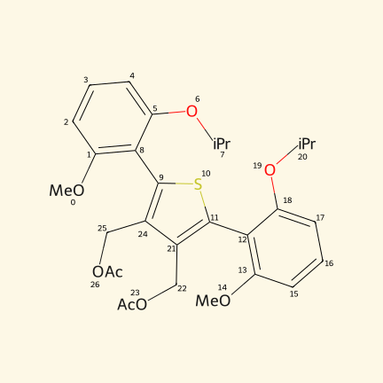 COc1cccc(OC(C)C)c1-c1sc(-c2c(OC)cccc2OC(C)C)c(COC(C)=O)c1COC(C)=O